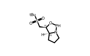 CC(C)(C)S(=O)(=O)C[C@H]1OPN2CCC[C@@H]12